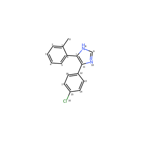 Cc1ccccc1-c1[nH]cnc1-c1ccc(Cl)cc1